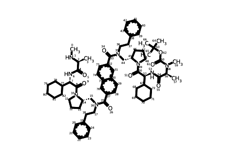 CN[C@@H](C)C(=O)N[C@H](C(=O)N1CCC[C@H]1CN(CCc1ccccc1)C(=O)c1ccc2cc(C(=O)N(CCc3ccccc3)C[C@@H]3CCCN3C(=O)[C@@H](NC(=O)[C@H](C)N(C)C(=O)OC(C)(C)C)C3CCCCC3)ccc2c1)C1CCCCC1